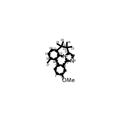 COc1ccc2c(c1)c1ncc3n1c1c(ccc(C)c21)C(C)(C)C3(C)C